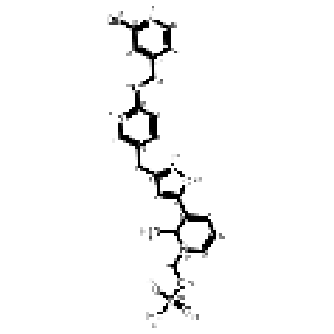 NC1C(c2cc(Cc3ccc(OCc4ccnc(Br)c4)nc3)no2)=CC=CN1COP(=O)(O)O